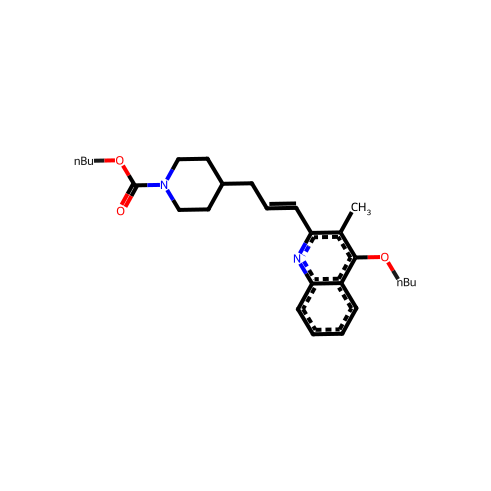 CCCCOC(=O)N1CCC(C/C=C/c2nc3ccccc3c(OCCCC)c2C)CC1